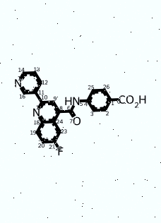 O=C(O)c1ccc(NC(=O)c2cc(-c3cccnc3)nc3ccc(F)cc23)cc1